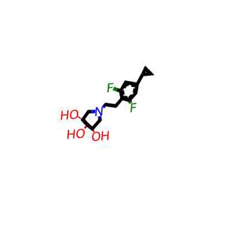 O[C@H]1[C@H](O)CN(CCc2c(F)cc(C3CC3)cc2F)C[C@@H]1O